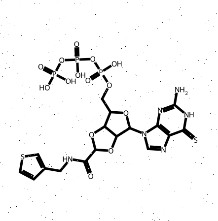 Nc1nc2c(ncn2C2OC(COP(=O)(O)OP(=O)(O)OP(=O)(O)O)C3OC(C(=O)NCc4ccsc4)OC32)c(=S)[nH]1